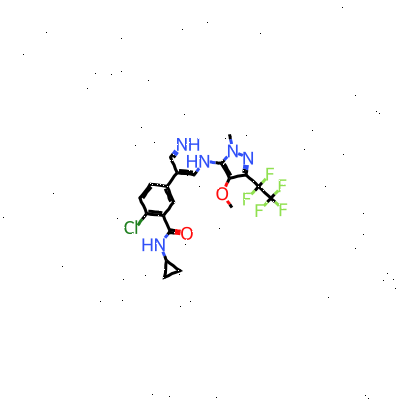 COc1c(C(F)(F)C(F)(F)F)nn(C)c1N/C=C(\C=N)c1ccc(Cl)c(C(=O)NC2CC2)c1